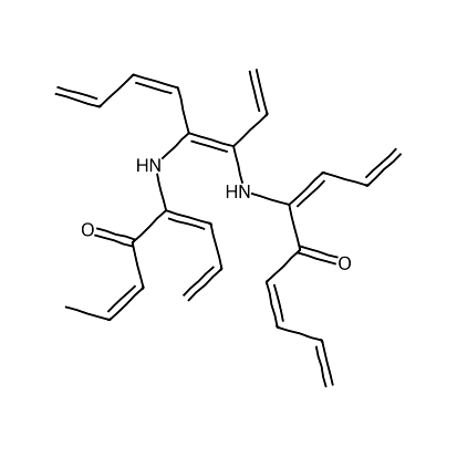 C=C/C=C\C(=O)/C(=C\C=C)N/C(C=C)=C(/C=C\C=C)N/C(=C/C=C)C(=O)/C=C\C